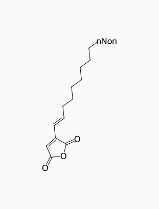 CCCCCCCCCCCCCCCC/C=C/C1=CC(=O)OC1=O